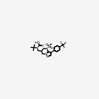 CC(C)(C)N(CC1CN(S(C)(=O)=O)c2c(-c3ccc(C(F)(F)F)cc3)cnn2C1)C(=O)O